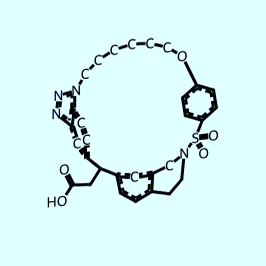 O=C(O)CC1c2ccc3c(c2)CN(CC3)S(=O)(=O)c2ccc(cc2)OCCCCCCn2nnc3cc1ccc32